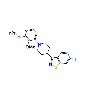 CCCOc1[c]ccc(N2CCC(c3nsc4cc(F)ccc34)CC2)c1OC